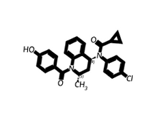 C[C@H]1C[C@@H](N(C(=O)C2CC2)c2ccc(Cl)cc2)c2ccccc2N1C(=O)c1ccc(O)cc1